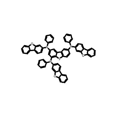 c1ccc(N(c2ccc3c(c2)oc2ccccc23)c2ccc3sc4c(N(c5ccccc5)c5ccc6c(c5)oc5ccccc56)cc(N(c5ccccc5)c5ccc6c(c5)oc5ccccc56)cc4c3c2)cc1